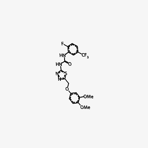 COc1ccc(OCc2nnc(NC(=O)Nc3cc(C(F)(F)F)ccc3F)s2)cc1OC